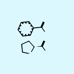 O=C(O)[C@@H]1CCCN1.O=C([O-])c1ccccc1.[Na+]